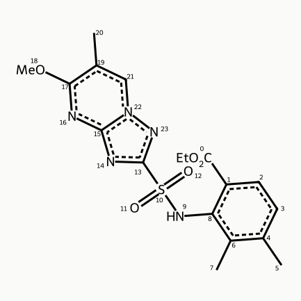 CCOC(=O)c1ccc(C)c(C)c1NS(=O)(=O)c1nc2nc(OC)c(C)cn2n1